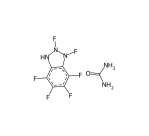 Fc1c(F)c(F)c2c(c1F)NN(F)N2F.NC(N)=O